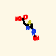 O=C(O)Cc1nc(N=NO)cs1